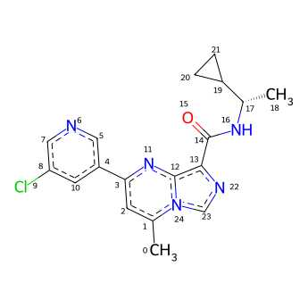 Cc1cc(-c2cncc(Cl)c2)nc2c(C(=O)N[C@@H](C)C3CC3)ncn12